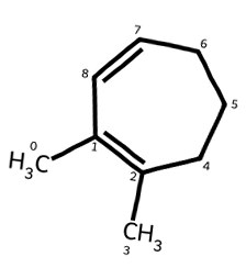 CC1=C(C)CCCC=C1